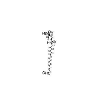 O=CCCCCCCCCCCCCCCCNC(=O)c1ccc(B(O)O)cc1